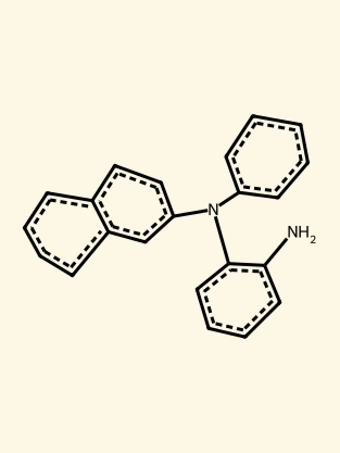 Nc1ccccc1N(c1ccccc1)c1ccc2ccccc2c1